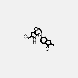 CC1Cc2cc(N3CCOc4cc(C=O)[nH]c43)ccc2C1=O